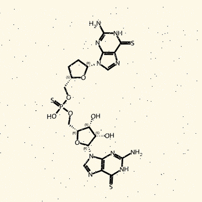 Nc1nc2c(ncn2[C@@H]2O[C@H](COP(O)(=S)OC[C@@H]3CC[C@H](n4cnc5c(=S)[nH]c(N)nc54)O3)[C@H](O)[C@@H]2O)c(=S)[nH]1